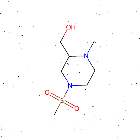 CN1CCN(S(C)(=O)=O)CC1CO